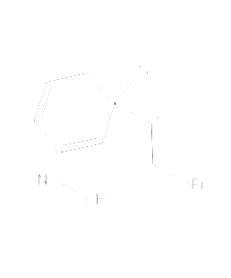 CC#N.CC(=O)C1(CCC(C)C)C=CC=CC1